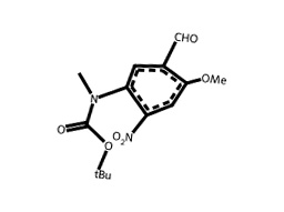 COc1cc([N+](=O)[O-])c(N(C)C(=O)OC(C)(C)C)cc1C=O